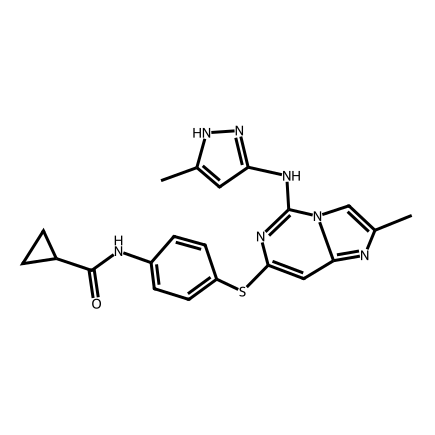 Cc1cn2c(Nc3cc(C)[nH]n3)nc(Sc3ccc(NC(=O)C4CC4)cc3)cc2n1